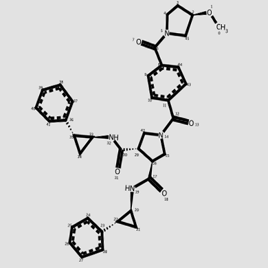 CO[C@@H]1CCN(C(=O)c2ccc(C(=O)N3C[C@@H](C(=O)N[C@H]4C[C@@H]4c4ccccc4)[C@H](C(=O)N[C@H]4C[C@@H]4c4ccccc4)C3)cc2)C1